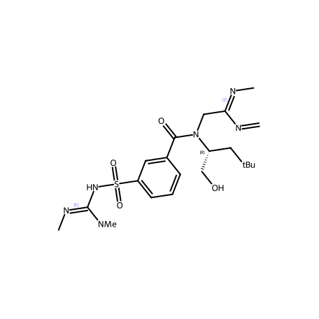 C=N/C(CN(C(=O)c1cccc(S(=O)(=O)N/C(=N/C)NC)c1)[C@@H](CO)CC(C)(C)C)=N\C